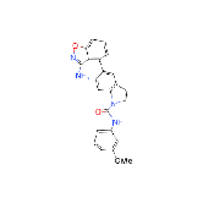 COc1cccc(NC(=O)N2CCc3cc(-c4cccc5onc(N)c45)ccc32)c1